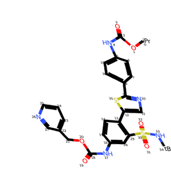 CC(C)OC(=O)Nc1ccc(-c2ncc(-c3ccc(NC(=O)OCc4cccnc4)cc3S(=O)(=O)NC(C)(C)C)s2)cc1